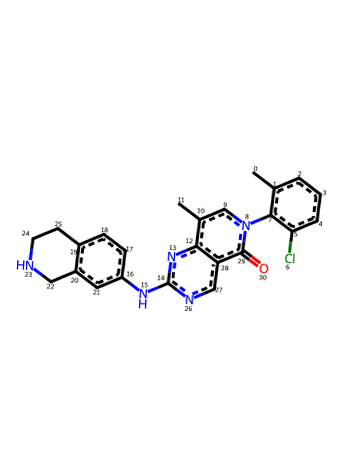 Cc1cccc(Cl)c1-n1cc(C)c2nc(Nc3ccc4c(c3)CNCC4)ncc2c1=O